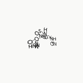 CC(C)(CC(=O)N[C@@H]1CSc2ccccc2N(Cc2ccc(-c3ccccc3-c3nnn[nH]3)cc2)C1=O)NCc1cnco1